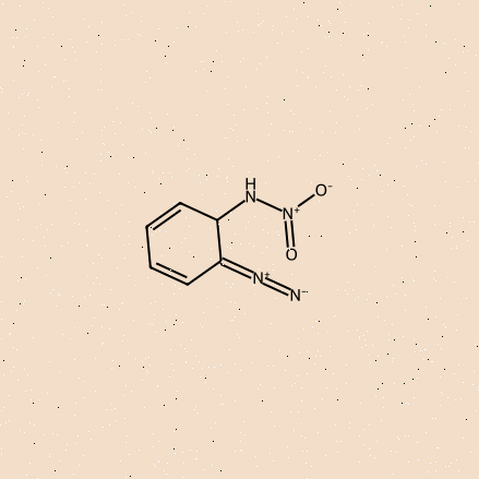 [N-]=[N+]=C1C=CC=CC1N[N+](=O)[O-]